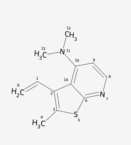 C=Cc1c(C)sc2nccc(N(C)C)c12